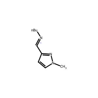 CCCC/N=C/c1ccn(C)n1